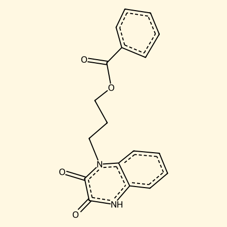 O=C(OCCCn1c(=O)c(=O)[nH]c2ccccc21)c1ccccc1